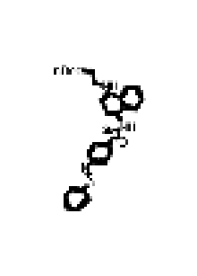 CCCCCCCCCCCCNc1ccc(NS(=O)(=O)c2ccc(/N=N/c3ccccc3)cc2)c2ccccc12